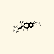 COc1ccc2c(c1)CC(C)N(CC=C(C)C)CC2.Cl